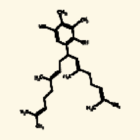 CC(C)=CCC/C(C)=C/CC(/C=C(\C)CCC=C(C)C)c1cc(O)c(C)c(C)c1O